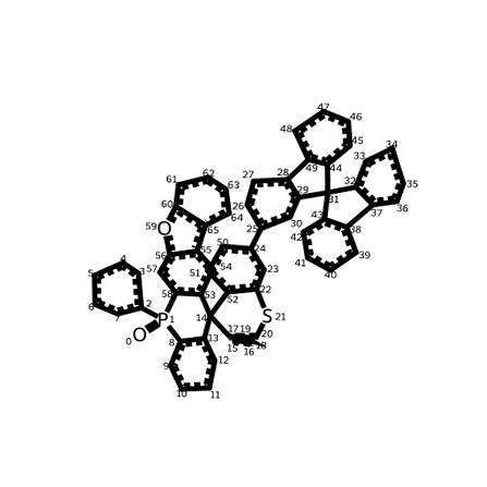 O=P1(c2ccccc2)c2ccccc2C2(c3ccccc3Sc3cc(-c4ccc5c(c4)C4(c6ccccc6-c6ccccc64)c4ccccc4-5)ccc32)c2cc3c(cc21)oc1ccccc13